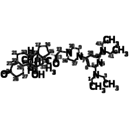 CCN(CC)c1cc(N2CCN(CC(=O)[C@H]3CC[C@H]4[C@@H]5CCC6=CC(=O)CC[C@]6(C)[C@H]5[C@H](O)C[C@]34C)CC2)cc(N(CC)CC)n1